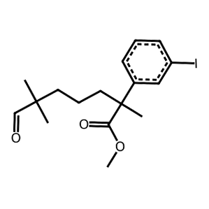 COC(=O)C(C)(CCCC(C)(C)C=O)c1cccc(I)c1